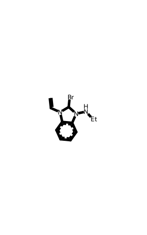 C=CN1c2ccccc2N(NCC)C1Br